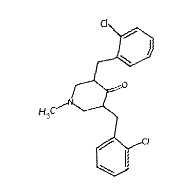 CN1CC(Cc2ccccc2Cl)C(=O)C(Cc2ccccc2Cl)C1